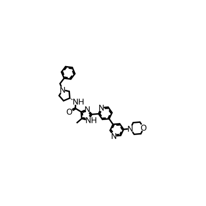 Cc1[nH]c(-c2cc(-c3cncc(N4CCOCC4)c3)ccn2)nc1C(=O)N[C@@H]1CCN(Cc2ccccc2)C1